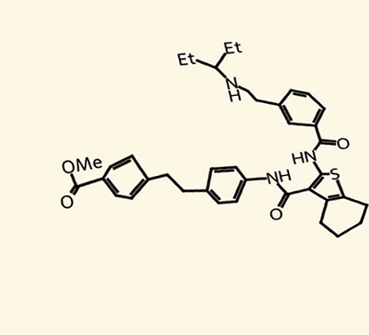 CCC(CC)NCCc1cccc(C(=O)Nc2sc3c(c2C(=O)Nc2ccc(CCc4ccc(C(=O)OC)cc4)cc2)CCCC3)c1